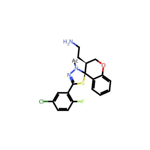 CC(=O)N1N=C(c2cc(Cl)ccc2F)S[C@@]12c1ccccc1OC[C@@H]2CCN